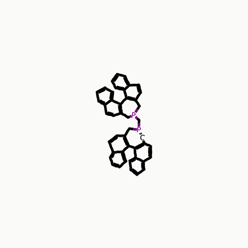 c1ccc2c3c(ccc2c1)CP(CP1Cc2ccc4ccccc4c2-c2c(ccc4ccccc24)C1)Cc1ccc2ccccc2c1-3